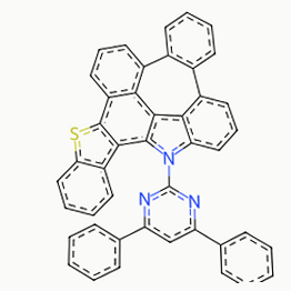 c1ccc(-c2cc(-c3ccccc3)nc(-n3c4cccc5c4c4c6c(cccc6c6sc7ccccc7c6c43)-c3ccccc3-5)n2)cc1